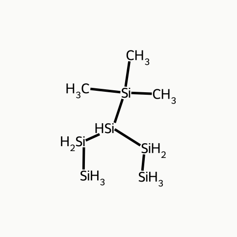 C[Si](C)(C)[SiH]([SiH2][SiH3])[SiH2][SiH3]